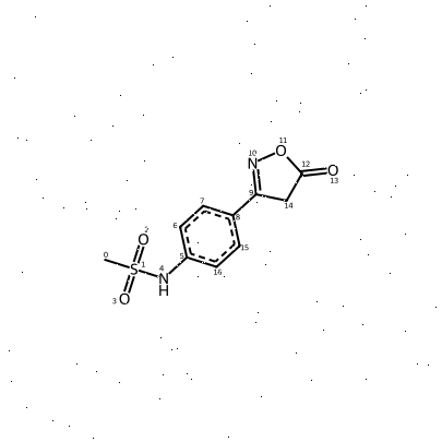 CS(=O)(=O)Nc1ccc(C2=NOC(=O)C2)cc1